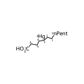 CCCCCCCCCCCC(=O)O.[Hg]